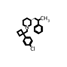 CC(C[C@H]1CCCN(CC2(c3ccc(Cl)cc3)CCC2)C1)c1ccccc1